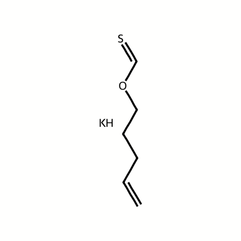 C=CCCCOC=S.[KH]